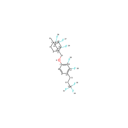 CC12CCC(COc3ccc(CCC(F)(F)F)c(F)c3F)(CC1)C(F)C2(F)F